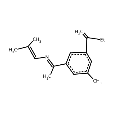 C=C(CC)c1cc(C)cc(/C(C)=N/C=C(C)C)c1